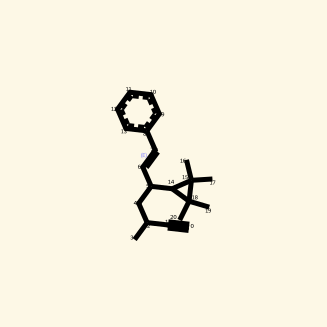 C#CC(C)CC(/C=C/c1ccccc1)C1C(C)(C)C1(C)C